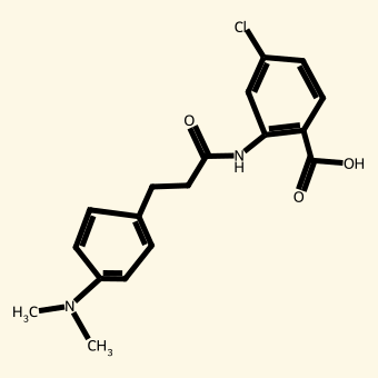 CN(C)c1ccc(CCC(=O)Nc2cc(Cl)ccc2C(=O)O)cc1